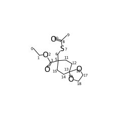 CCOC(=O)C1(CSC(C)=O)CCC2(CC1)OCCO2